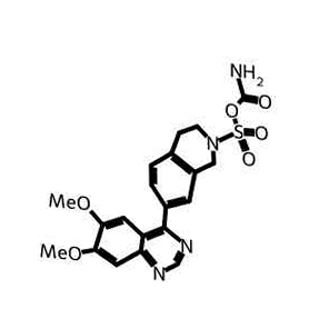 COc1cc2ncnc(-c3ccc4c(c3)CN(S(=O)(=O)OC(N)=O)CC4)c2cc1OC